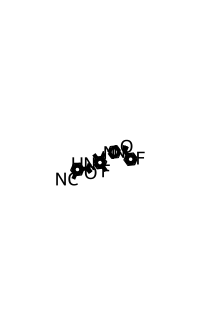 Cc1c(CN2CCN(C(=O)c3cccc(F)c3)CC2)cc(F)cc1NC(=O)c1cccc(C#N)c1